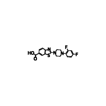 O=C(O)c1ccc2nc(N3CCN(c4ccc(F)cc4F)CC3)sc2c1